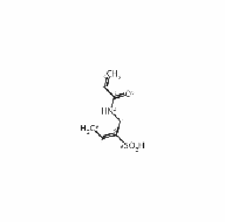 C=CC(=O)NCC(=CC)S(=O)(=O)O